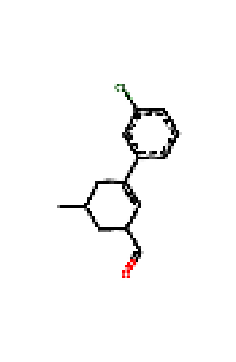 CC1CC(c2cccc(Cl)c2)=CC(C=O)C1